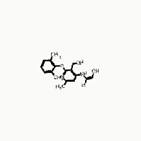 CC/C(=C/O)Nc1cc(C)nc(Oc2c(C)cccc2C)c1CO